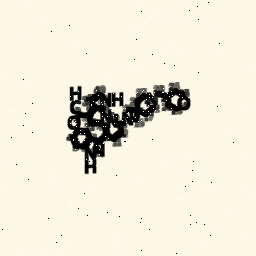 CC(Oc1ccc2[nH]nc(-c3ccc(N4CC5(CCN(CC6CCOCC6)CC5)C4)nc3)c2c1)c1ccnc2[nH]ccc12